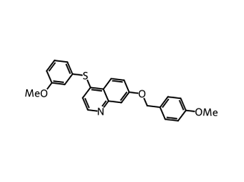 COc1ccc(COc2ccc3c(Sc4cccc(OC)c4)ccnc3c2)cc1